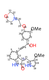 COc1cc(C(O)C#Cc2cccc3c2/C(=C/c2[nH]ccc2OC)C(=O)N3)ccc1OCCN1CCOCC1